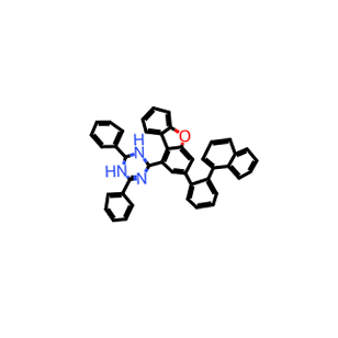 c1ccc(C2=NC(c3cc(-c4ccccc4-c4cccc5ccccc45)cc4oc5ccccc5c34)NC(c3ccccc3)N2)cc1